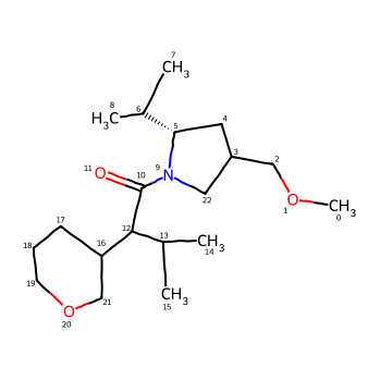 COCC1C[C@@H](C(C)C)N(C(=O)C(C(C)C)C2CCCOC2)C1